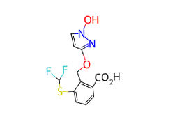 O=C(O)c1cccc(SC(F)F)c1COc1ccn(O)n1